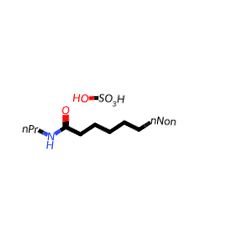 CCCCCCCCCCCCCCC(=O)NCCC.O=S(=O)(O)O